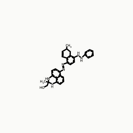 CC1C=Cc2c(/N=N/c3ccc4c5c(cccc35)NC(C)(CO)N4)ccc(NNc3ccccc3)c2C1